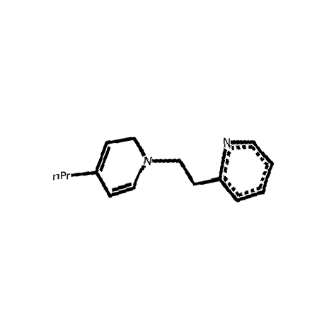 CCCC1=CCN(CCc2ccccn2)C=C1